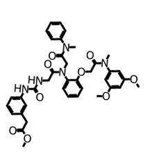 COC(=O)Cc1cccc(NC(=O)NCC(=O)N(CC(=O)N(C)c2ccccc2)c2ccccc2OCC(=O)N(C)c2cc(OC)cc(OC)c2)c1